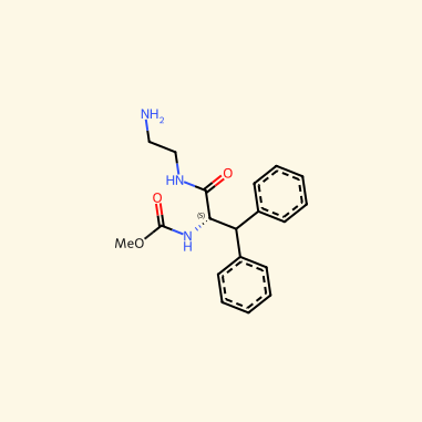 COC(=O)N[C@H](C(=O)NCCN)C(c1ccccc1)c1ccccc1